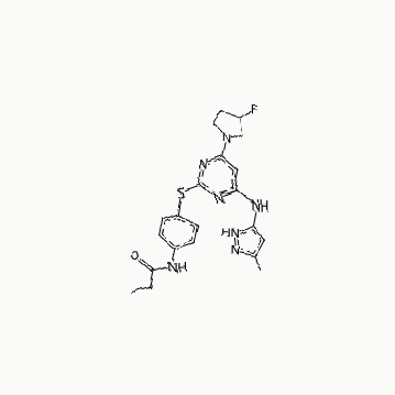 CCC(=O)Nc1ccc(Sc2nc(Nc3cc(C)n[nH]3)cc(N3CCC(F)C3)n2)cc1